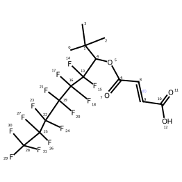 CC(C)(C)C(OC(=O)/C=C/C(=O)O)C(F)(F)C(F)(F)C(F)(F)C(F)(F)C(F)(F)C(F)(F)F